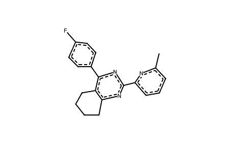 Cc1cccc(-c2nc3c(c(-c4ccc(F)cc4)n2)CCCC3)n1